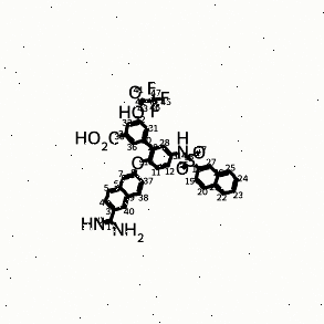 N=C(N)c1ccc2cc(Oc3ccc(NS(=O)(=O)c4ccc5ccccc5c4)cc3-c3cccc(C(=O)O)c3)ccc2c1.O=C(O)C(F)(F)F